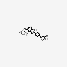 CN1CCC(Nc2c(Cl)cnc3[nH]c(-c4ccc(N5CCNC(=O)C5)cc4)nc23)CC1